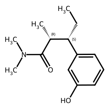 CC[C@H](c1cccc(O)c1)[C@@H](C)C(=O)N(C)C